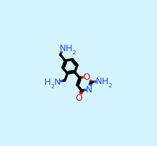 NCc1ccc(-c2cc(=O)nc(N)o2)c(CN)c1